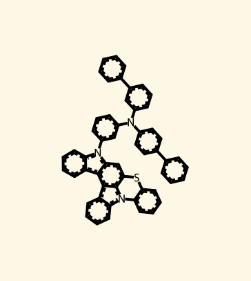 c1ccc(-c2ccc(N(c3cccc(-c4ccccc4)c3)c3cccc(-n4c5ccccc5c5c6c7ccccc7n7c6c(cc54)Sc4ccccc4-7)c3)cc2)cc1